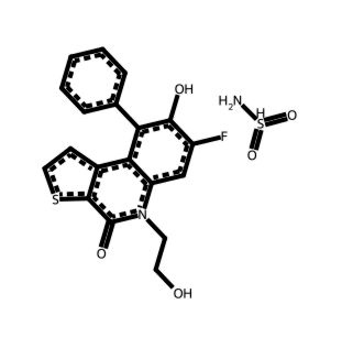 N[SH](=O)=O.O=c1c2sccc2c2c(-c3ccccc3)c(O)c(F)cc2n1CCO